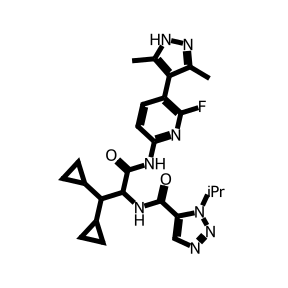 Cc1n[nH]c(C)c1-c1ccc(NC(=O)C(NC(=O)c2cnnn2C(C)C)C(C2CC2)C2CC2)nc1F